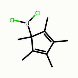 CC1=C(C)[C](C)([U]([Cl])[Cl])C(C)=C1C